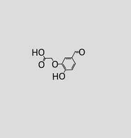 O=Cc1ccc(O)c(OCC(=O)O)c1